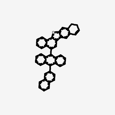 C1=Cc2cc3c(cc2CC1)oc1c2ccccc2c(-c2c4ccccc4c(-c4ccc5ccccc5c4)c4ccccc24)cc31